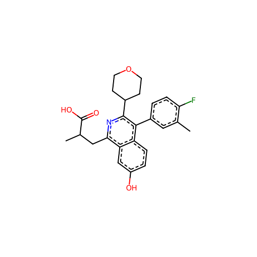 Cc1cc(-c2c(C3CCOCC3)nc(CC(C)C(=O)O)c3cc(O)ccc23)ccc1F